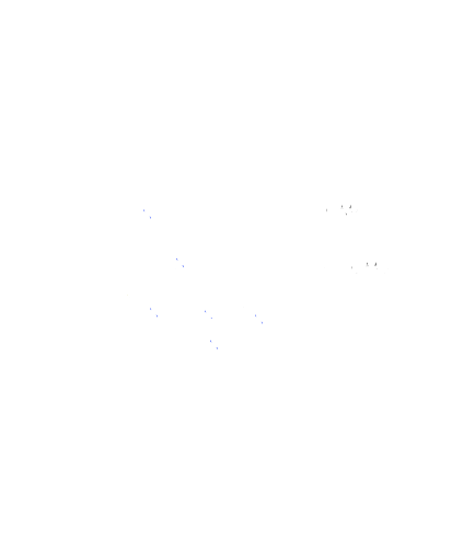 COc1ccc(CCCCN2CCCCC2c2nc(-n3cncn3)ns2)cc1OC